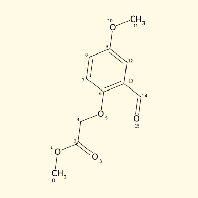 COC(=O)COc1ccc(OC)cc1C=O